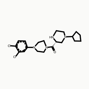 O=C([C@H]1CN(C2CCCC2)CCN1)N1CCN(c2ccc(Cl)c(Cl)c2)CC1